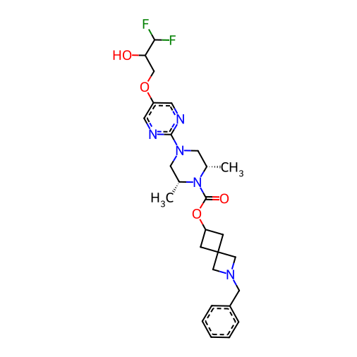 C[C@@H]1CN(c2ncc(OCC(O)C(F)F)cn2)C[C@H](C)N1C(=O)OC1CC2(C1)CN(Cc1ccccc1)C2